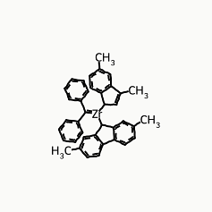 CC1=C[CH]([Zr](=[C](c2ccccc2)c2ccccc2)[CH]2c3cc(C)ccc3-c3ccc(C)cc32)c2ccc(C)cc21